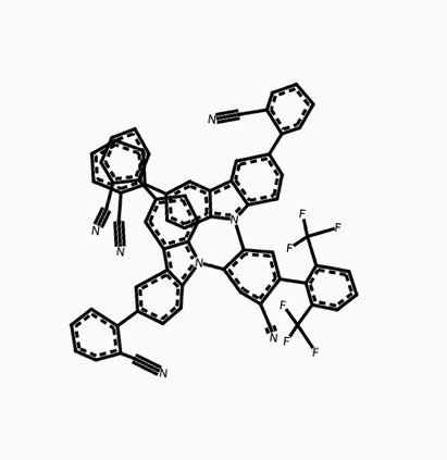 N#Cc1ccccc1-c1ccc2c(c1)c1cc(-c3ccccc3C#N)ccc1n2-c1cc(C#N)c(-c2c(C(F)(F)F)cccc2C(F)(F)F)cc1-n1c2ccc(-c3ccccc3C#N)cc2c2cc(-c3ccccc3C#N)ccc21